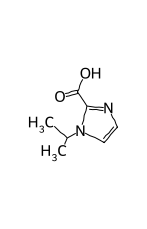 CC(C)n1ccnc1C(=O)O